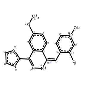 COc1ccc2c(c1)C(c1nccs1)=NN/C2=C/c1cc[n+]([O-])cc1Cl